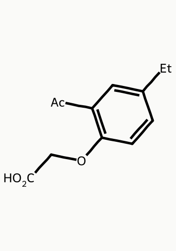 CCc1ccc(OCC(=O)O)c(C(C)=O)c1